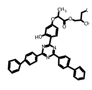 CC(CO)COC(=O)C(C)Oc1ccc(-c2nc(-c3ccc(-c4ccccc4)cc3)nc(-c3ccc(-c4ccccc4)cc3)n2)c(O)c1